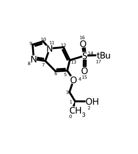 C[C@H](O)COc1cc2nccn2cc1S(=O)(=O)C(C)(C)C